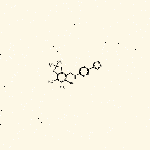 Cc1c(C)c([N+](=O)[O-])c(CNc2ccc(-c3ccn[nH]3)cc2)c2c1OC(C)(C)C2